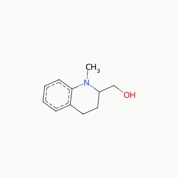 CN1c2ccccc2CCC1CO